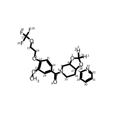 [2H]C1([2H])OC2CN(C(=O)c3ccc(OCCOC(F)(F)F)c(OC)c3)CC[C@]2(c2ccccn2)O1